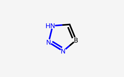 b1c[nH]nn1